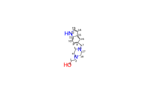 OCCN1CCN(Cc2ccc3[nH]ccc3c2)CC1